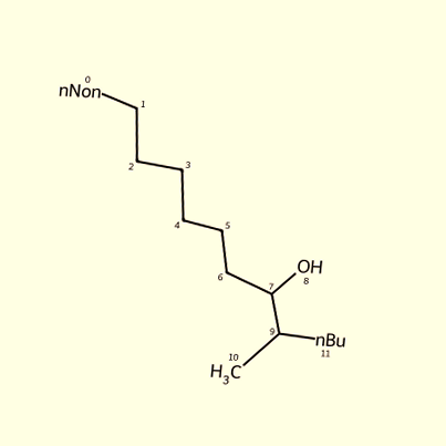 CCCCCCCCCCCCCCCC(O)C(C)CCCC